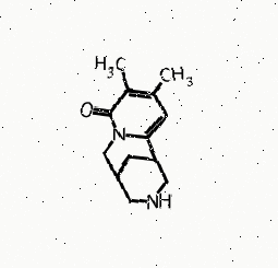 Cc1cc2n(c(=O)c1C)CC1CNCC2C1